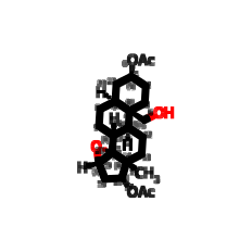 CC(=O)O[C@H]1CC[C@@]2(CO)[C@@H](CC[C@@H]3[C@@H]2CC[C@]2(C)[C@@H](OC(C)=O)C[C@@H]4O[C@]432)C1